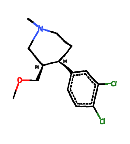 COC[C@H]1CN(C)CC[C@H]1c1ccc(Cl)c(Cl)c1